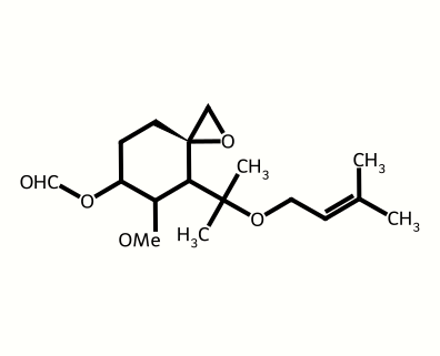 COC1C(OC=O)CC[C@]2(CO2)C1C(C)(C)OCC=C(C)C